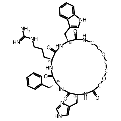 N=C(N)NCCC[C@@H]1NC(=O)[C@@H](Cc2ccccc2)NC(=O)[C@H](Cc2c[nH]cn2)NC(=O)COCCOCCNC(=O)[C@H](Cc2c[nH]c3ccccc23)NC1=O